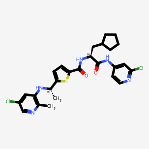 Cc1ncc(Cl)cc1N[C@@H](C)c1ccc(C(=O)N[C@@H](CC2CCCC2)C(=O)Nc2ccnc(Cl)c2)s1